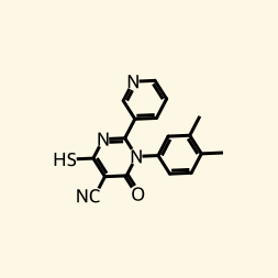 Cc1ccc(-n2c(-c3cccnc3)nc(S)c(C#N)c2=O)cc1C